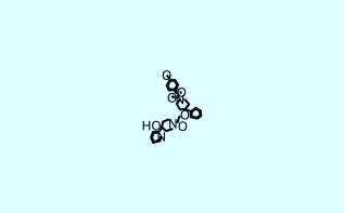 COc1ccc(S(=O)(=O)N2CCC(OCC(=O)N3CCC(O)(c4ccccn4)CC3)(c3ccccc3)CC2)cc1